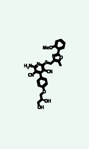 [C-]#[N+]c1c(N)nc(SCc2nc(-c3ccccc3OC)oc2C)c(C#N)c1-c1ccc(OC[C@@H](O)CO)cc1